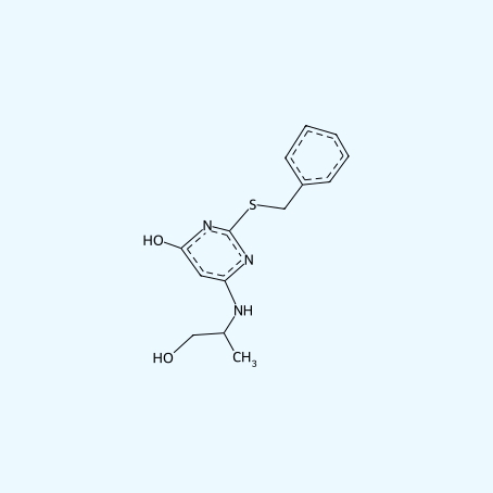 CC(CO)Nc1cc(O)nc(SCc2ccccc2)n1